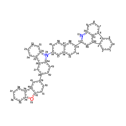 c1ccc2c(c1)-c1cccc3nc(-c4ccc5cc(-n6c7ccccc7c7cc(-c8ccc9oc%10ccccc%10c9c8)ccc76)ccc5c4)cc-2c13